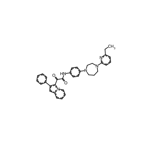 CCc1cccc(N2CCCN(c3ccc(NC(=O)C(=O)c4c(-c5ccccc5)cc5ccccn45)cc3)CC2)n1